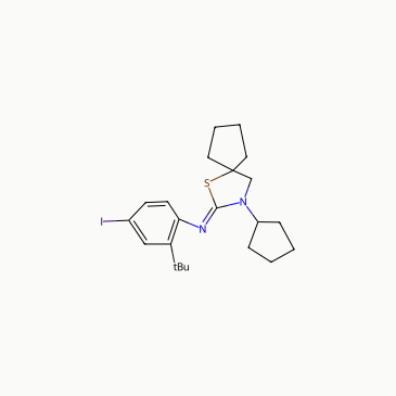 CC(C)(C)c1cc(I)ccc1N=C1SC2(CCCC2)CN1C1CCCC1